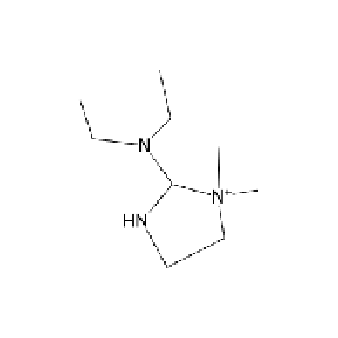 CCN(CC)C1NCC[N+]1(C)C